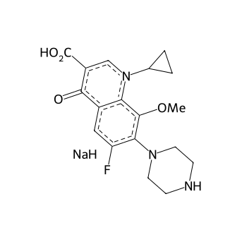 COc1c(N2CCNCC2)c(F)cc2c(=O)c(C(=O)O)cn(C3CC3)c12.[NaH]